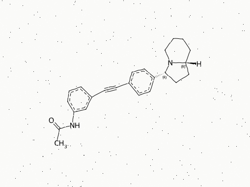 CC(=O)Nc1cccc(C#Cc2ccc([C@H]3CC[C@H]4CCCCN43)cc2)c1